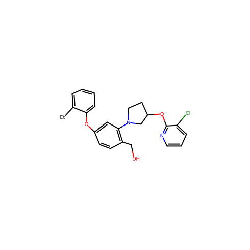 CCc1ccccc1Oc1ccc(CO)c(N2CCC(Oc3ncccc3Cl)C2)c1